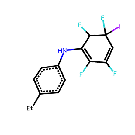 CCc1ccc(NC2=C(F)C(F)=CC(F)(I)C2F)cc1